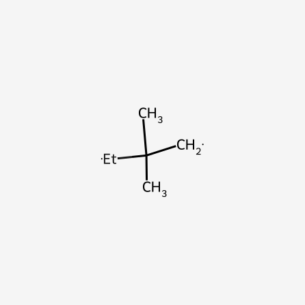 [CH2]C(C)(C)[CH]C